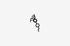 CCCC1CCC(c2ccc(OCC)c(F)c2)CC1